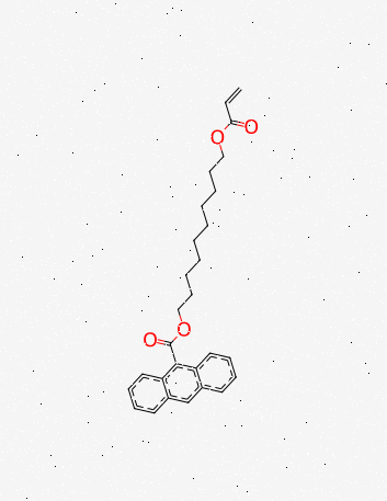 C=CC(=O)OCCCCCCCCCCOC(=O)c1c2ccccc2cc2ccccc12